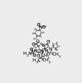 CC(=O)N(c1cccs1)C1C(=O)N2CC(CN(C(=O)OC(C)(C)C)S(N)(=O)=O)(C(=O)OCc3ccc([N+](=O)[O-])cc3)CS[C@H]12